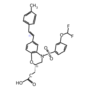 Cc1ccc(/C=C/c2ccc3c(c2)N(S(=O)(=O)c2cccc(OC(F)F)c2)C[C@H](CCC(=O)O)O3)cc1